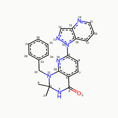 CC1(C)NC(=O)c2ccc(-n3ncc4ncccc43)nc2N1Cc1ccccc1